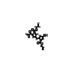 C=CCOC(=O)N1CC(S)CC1CC1C[C@@H](C(=O)N(C)C)N(C(=O)OCC=C)C1